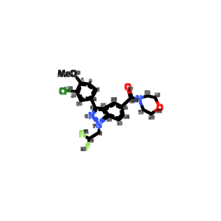 COc1ccc(-c2nn(CC(F)F)c3ccc(C(=O)N4CCOCC4)cc23)cc1Cl